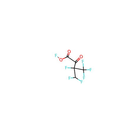 O=C(OF)C(=O)C(F)(C(F)F)C(F)(F)F